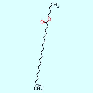 C.CCCCCCCCCCCCCCCCCC(=O)OCCCC